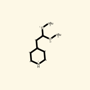 CCCCOC(CC1CCNCC1)OCCCC